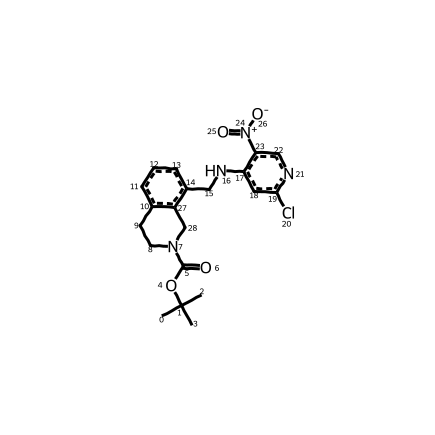 CC(C)(C)OC(=O)N1CCc2cccc(CNc3cc(Cl)ncc3[N+](=O)[O-])c2C1